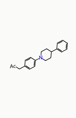 CC(=O)Cc1ccc(N2CCC(c3ccccc3)CC2)cc1